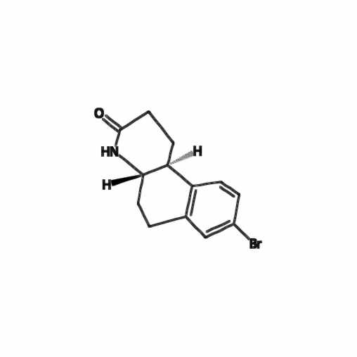 O=C1CC[C@H]2c3ccc(Br)cc3CC[C@@H]2N1